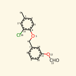 Cc1ccc(OCc2cccc(OC=O)c2)c(Cl)c1